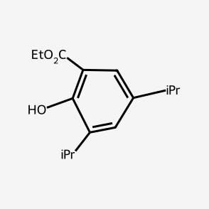 CCOC(=O)c1cc(C(C)C)cc(C(C)C)c1O